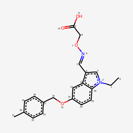 CCn1cc(/C=N/OCC(=O)O)c2cc(OCc3ccc(C)cc3)ccc21